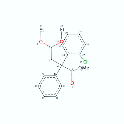 CCOC(CC(C(=O)OC)(c1ccccc1)c1ccccc1Cl)OCC